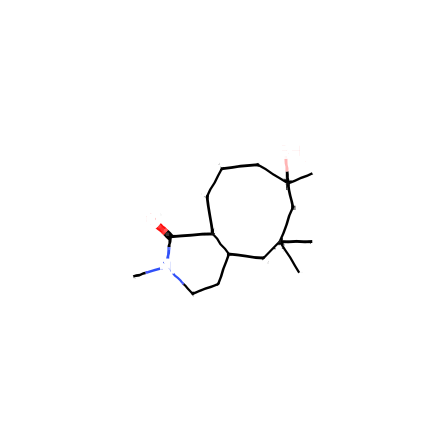 BC1(C)CCCC2C(=O)N(C)CCC2CC(C)(C)C1